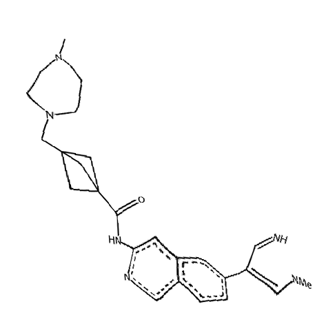 CN/C=C(\C=N)c1ccc2cnc(NC(=O)C34CC(CN5CCN(C)CC5)(C3)C4)cc2c1